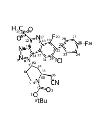 CC(C)(C)OC(=O)N1CC[C@H](n2nnc3c(S(C)(=O)=O)nc4c(F)c(-c5ccc(F)cc5)c(Cl)cc4c32)C[C@H]1CC#N